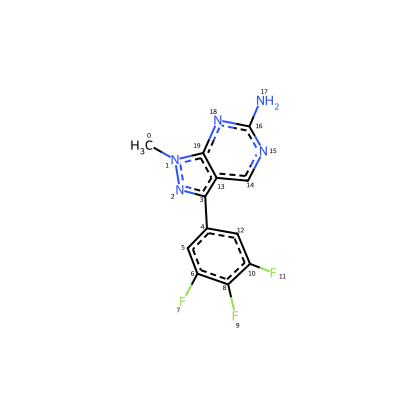 Cn1nc(-c2cc(F)c(F)c(F)c2)c2cnc(N)nc21